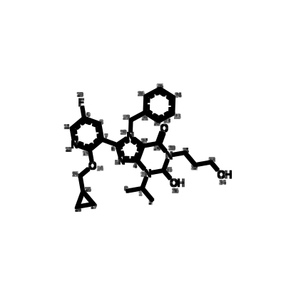 CC(C)N1c2nc(-c3cc(F)cnc3OCC3CC3)n(Cc3ccccc3)c2C(=O)N(CCCO)C1O